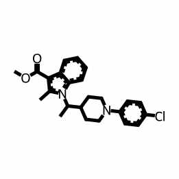 COC(=O)c1c(C)n(C(C)C2CCN(c3ccc(Cl)cc3)CC2)c2ccccc12